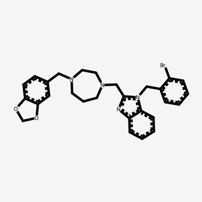 Brc1ccccc1Cn1c(CN2CCCN(Cc3ccc4c(c3)OCO4)CC2)nc2ccccc21